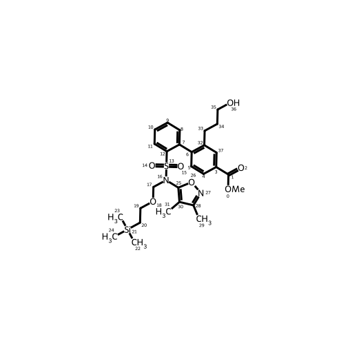 COC(=O)c1ccc(-c2ccccc2S(=O)(=O)N(COCC[Si](C)(C)C)c2onc(C)c2C)c(CCCO)c1